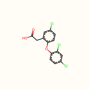 O=C(O)Cc1cc(Cl)ccc1Oc1ccc(Cl)cc1Cl